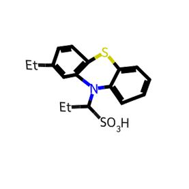 CCc1ccc2c(c1)N(C(CC)S(=O)(=O)O)c1ccccc1S2